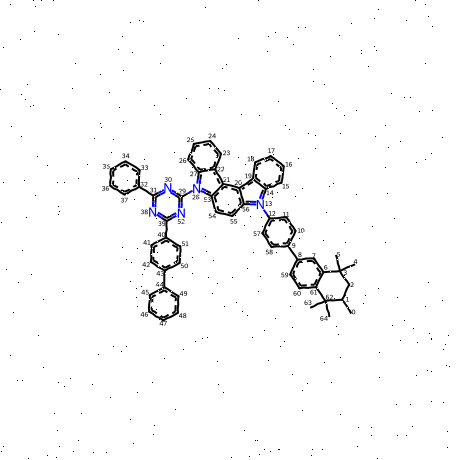 CC1CC(C)(C)c2cc(-c3ccc(-n4c5ccccc5c5c6c7ccccc7n(-c7nc(-c8ccccc8)nc(-c8ccc(-c9ccccc9)cc8)n7)c6ccc54)cc3)ccc2C1(C)C